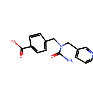 NC(=O)N(Cc1ccc(C(=O)O)cc1)Cc1cccnc1